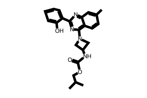 Cc1ccc2c(N3CC(NC(=O)OCC(C)C)C3)nc(-c3ccccc3O)nc2c1